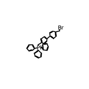 BrCc1ccc(-c2ccc(C[PH](c3ccccc3)(c3ccccc3)c3ccccc3)cc2)cc1